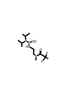 CC(C)N(C(C)C)P(O)NCCN(C)C(=O)C(F)(F)F